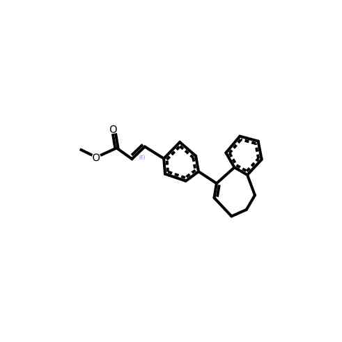 COC(=O)/C=C/c1ccc(C2=CCCCc3ccccc32)cc1